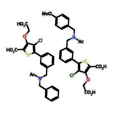 CC(=O)N(Cc1ccccc1)Cc1cccc(-c2sc(C(=O)O)c(OCC(=O)O)c2Cl)c1.COc1ccc(CN(Cc2cccc(-c3sc(C(=O)O)c(OCC(=O)O)c3Cl)c2)C(C)=O)cc1